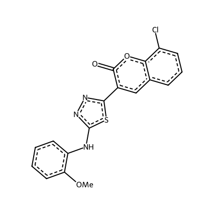 COc1ccccc1Nc1nnc(-c2cc3cccc(Cl)c3oc2=O)s1